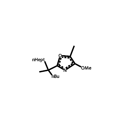 CCCCCCCC(C)(CCCC)c1nc(OC)c(C)o1